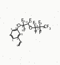 C=Cc1cccc(OC(F)(F)C(F)OC(F)(F)C(F)(F)C(F)(F)F)c1